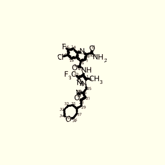 Cc1c(NC(=O)c2cc(C(N)=O)nc3cc(F)c(Cl)cc23)c(C(F)(F)F)nn1Cc1cc(CC2CCCCOCC2)on1